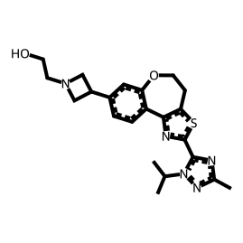 Cc1nc(-c2nc3c(s2)CCOc2cc(C4CN(CCO)C4)ccc2-3)n(C(C)C)n1